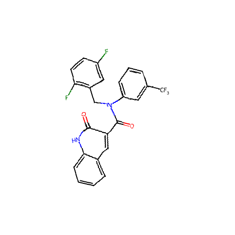 O=C(c1cc2ccccc2[nH]c1=O)N(Cc1cc(F)ccc1F)c1cccc(C(F)(F)F)c1